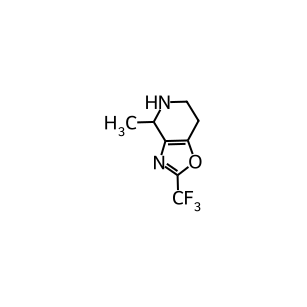 CC1NCCc2oc(C(F)(F)F)nc21